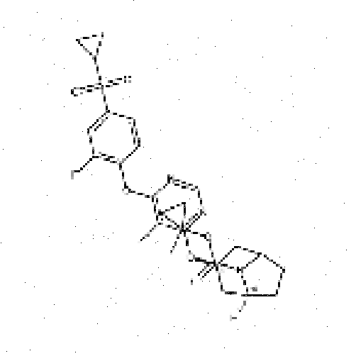 Cc1c(Oc2ccc(S(=O)(=O)C3CC3)cc2F)ncnc1O[C@H]1CC2CC[C@@H](C1)N2C(=O)OC1(C)CC1